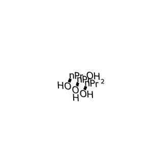 CCCO.CCCO.CCCO.O